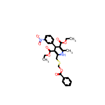 CCOC(=O)C1=C(C)NC(CSCOC(=O)c2ccccc2)=C(C(=O)OCC)C1c1cccc([N+](=O)[O-])c1